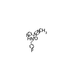 CN1CCN(C(C(=O)NCCc2ccc(F)cc2)c2cccnc2)CC1